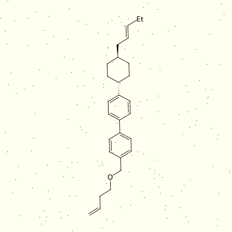 C=CCCOCc1ccc(-c2ccc([C@H]3CC[C@H](CC=CCC)CC3)cc2)cc1